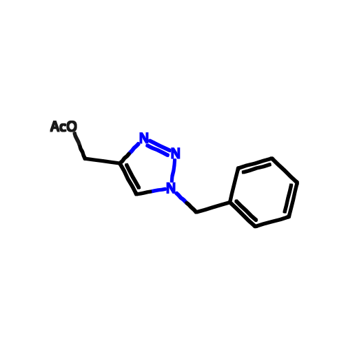 CC(=O)OCc1cn(Cc2ccccc2)nn1